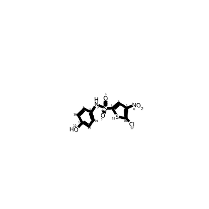 O=[N+]([O-])c1cc(S(=O)(=O)Nc2ccc(O)cc2)sc1Cl